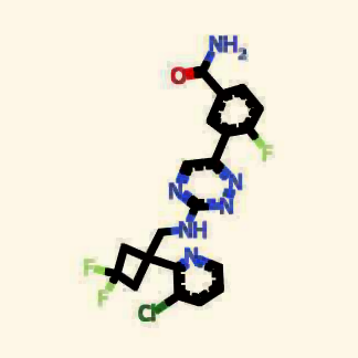 NC(=O)c1ccc(F)c(-c2cnc(NCC3(c4ncccc4Cl)CC(F)(F)C3)nn2)c1